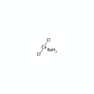 [BaH2].[Cl][Ca][Cl]